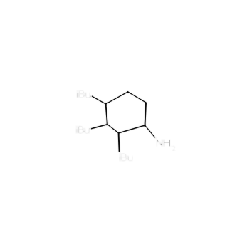 CCC(C)C1CCC(N)C(C(C)CC)C1C(C)CC